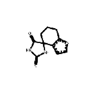 O=C1NC(=S)NC12CCCc1sccc12